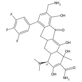 CN(C)[C@@H]1C(O)=C(C(N)=O)C(C)(O)C2C(O)=C3C(=O)c4c(O)c(CN)cc(-c5cc(F)c(F)c(F)c5)c4CC3CC21